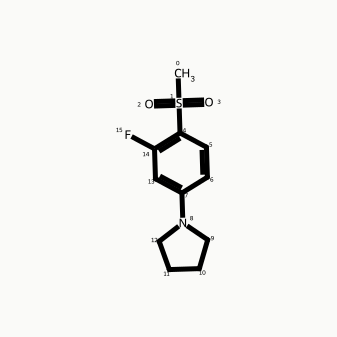 CS(=O)(=O)c1ccc(N2CCCC2)cc1F